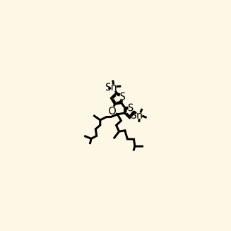 CC(C)CCCC(C)CCC1(CCC(C)CCCC(C)C)Oc2c[c]([Sn]([CH3])([CH3])[CH3])sc2-c2s[c]([Sn]([CH3])([CH3])[CH3])cc21